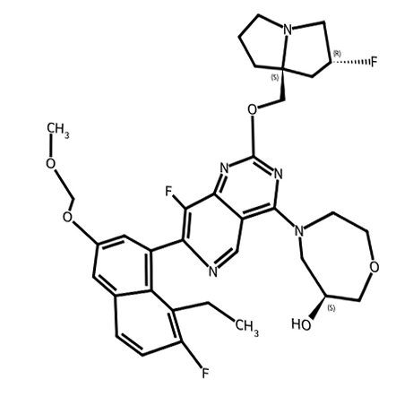 CCc1c(F)ccc2cc(OCOC)cc(-c3ncc4c(N5CCOC[C@@H](O)C5)nc(OC[C@@]56CCCN5C[C@H](F)C6)nc4c3F)c12